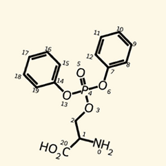 NC(COP(=O)(Oc1ccccc1)Oc1ccccc1)C(=O)O